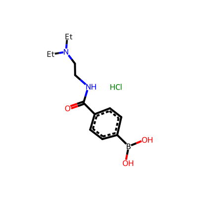 CCN(CC)CCNC(=O)c1ccc(B(O)O)cc1.Cl